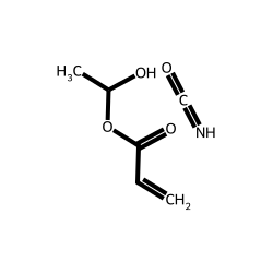 C=CC(=O)OC(C)O.N=C=O